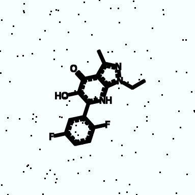 CCn1nc(C)c2c(=O)c(O)c(-c3cc(F)ccc3F)[nH]c21